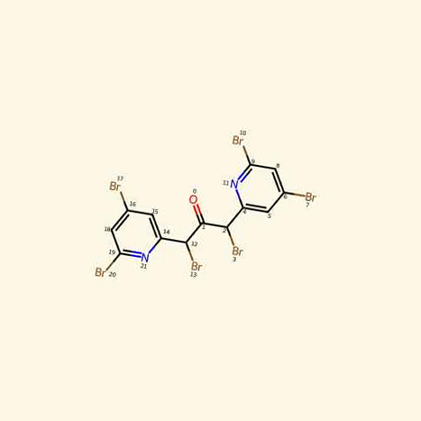 O=C(C(Br)c1cc(Br)cc(Br)n1)C(Br)c1cc(Br)cc(Br)n1